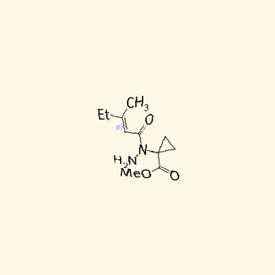 CC/C(C)=C/C(=O)N(N)C1(C(=O)OC)CC1